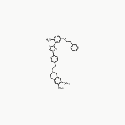 COc1cc2c(cc1OC)CN(CCc1ccc(-n3nnc(-c4cc(OCCc5cccnc5)ccc4N)n3)cc1)CC2